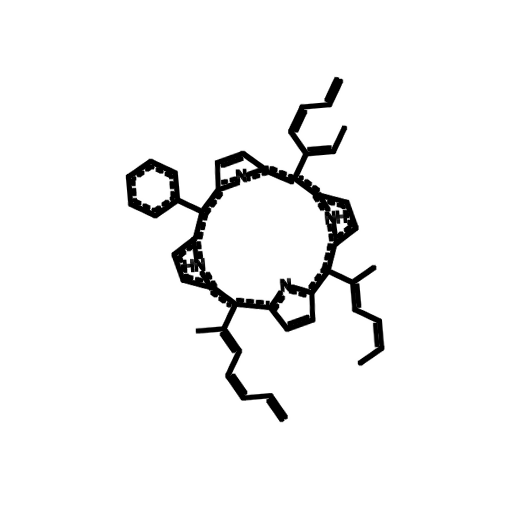 C=C/C=C\C=C(/C)c1c2nc(c(/C(C)=C/C=C\C)c3ccc([nH]3)c(C(/C=C\C=C)=C/C)c3nc(c(-c4ccccc4)c4ccc1[nH]4)C=C3)C=C2